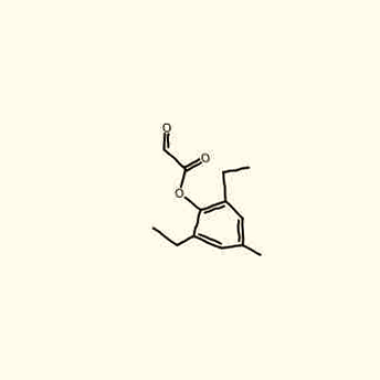 CCc1cc(C)cc(CC)c1OC(=O)C=O